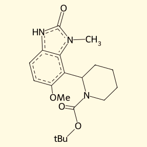 COc1ccc2[nH]c(=O)n(C)c2c1C1CCCCN1C(=O)OC(C)(C)C